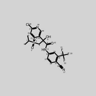 CC(C)S(=O)(=O)CC(O)(C(=O)Nc1ccc(C#N)c(C(F)(F)F)c1)c1ccc(Cl)nc1